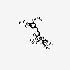 C=C/C=C(\C=C/C)/C=N/C(=C/CCc1ccc(OC(C)C)c(OC)c1)C(=O)N(C)C(C)(C)C